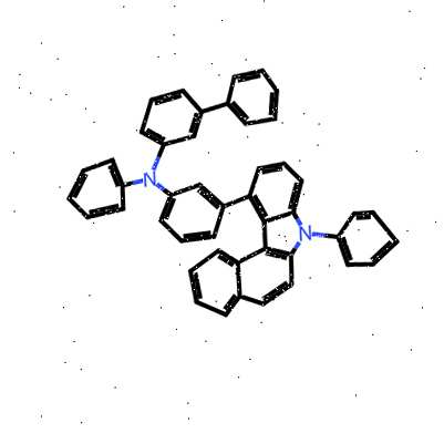 c1ccc(-c2cccc(N(c3ccccc3)c3cccc(-c4cccc5c4c4c6ccccc6ccc4n5-c4ccccc4)c3)c2)cc1